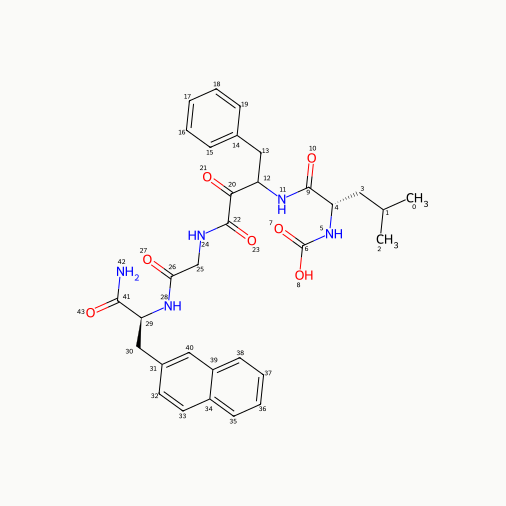 CC(C)C[C@H](NC(=O)O)C(=O)NC(Cc1ccccc1)C(=O)C(=O)NCC(=O)N[C@@H](Cc1ccc2ccccc2c1)C(N)=O